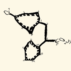 O=C(O)C(Cc1ccc(Cl)cc1)c1ccccc1